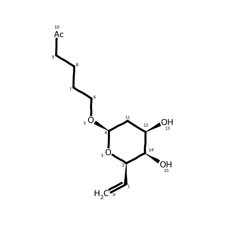 C=C[C@H]1O[C@@H](OCCCCC(C)=O)C[C@@H](O)[C@H]1O